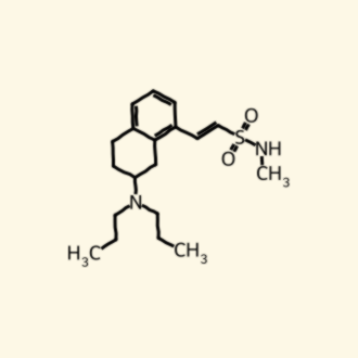 CCCN(CCC)C1CCc2cccc(C=CS(=O)(=O)NC)c2C1